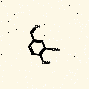 [CH]=Cc1[c]c(OC)c(OC)cc1